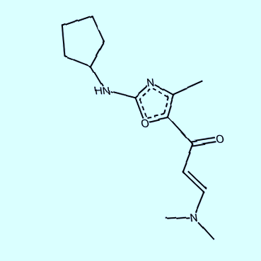 Cc1nc(NC2CCCC2)oc1C(=O)/C=C/N(C)C